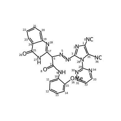 [C-]#[N+]c1nc(N=NC(C(=O)Nc2ccccc2OC)c2nc3ccccc3c(=O)[nH]2)n(-c2ncccn2)c1[N+]#[C-]